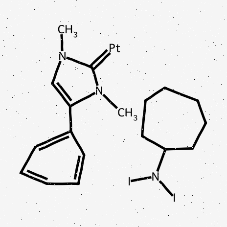 Cn1cc(-c2ccccc2)n(C)[c]1=[Pt].IN(I)C1CCCCCC1